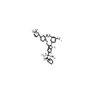 Cc1cc(C)cc(-c2[nH]c3sc(C(C)(C)C(=O)N4C5CCC4CC5)cc3c2CCN2CCN(C3CCS(=O)(=O)C3)CC2)c1